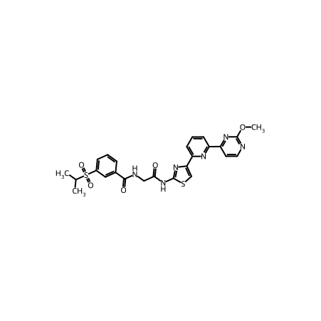 COc1nccc(-c2cccc(-c3csc(NC(=O)CNC(=O)c4cccc(S(=O)(=O)C(C)C)c4)n3)n2)n1